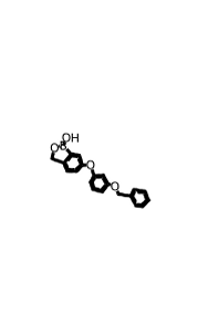 OB1OCc2ccc(Oc3cccc(OCc4ccccc4)c3)cc21